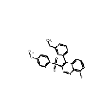 COc1ccc(S(=O)(=O)c2cnc3c(F)cccc3c2-c2cccc(OC)c2)cc1